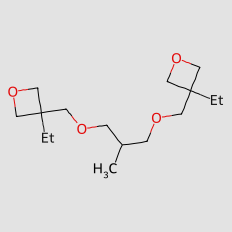 CCC1(COCC(C)COCC2(CC)COC2)COC1